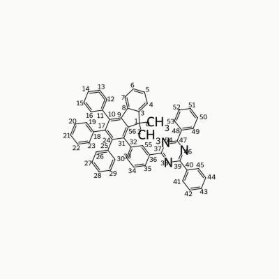 CC1(C)c2ccccc2-c2c(C3=C=C=CC=C3)c(-c3ccccc3)c(-c3ccccc3)c(-c3cccc(-c4nc(-c5ccccc5)nc(-c5ccccc5)n4)c3)c21